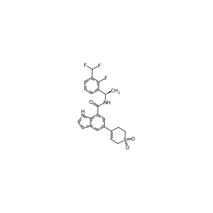 C[C@@H](NC(=O)c1cc(C2=CCS(=O)(=O)CC2)cc2cc[nH]c12)c1cccc(C(F)F)c1F